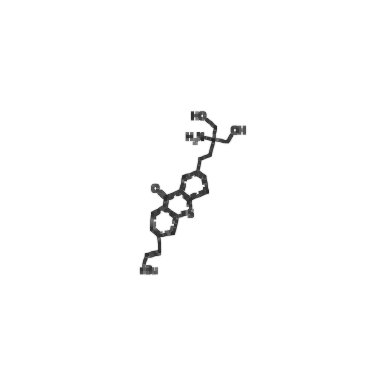 CCCC/C=C/c1ccc2c(=O)c3cc(CCC(N)(CO)CO)ccc3sc2c1